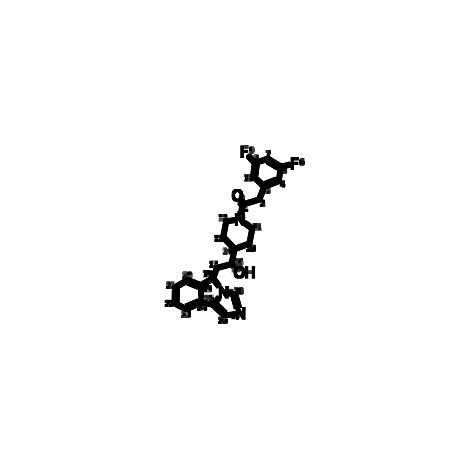 O=C(Cc1cc(F)cc(F)c1)N1CCC(C(O)CC2c3ccccc3-c3cncn32)CC1